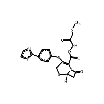 O=C(CSC(F)(F)F)NOC(=O)C1=C(Sc2ccc(-c3ncco3)cc2)CS[C@H]2CC(=O)N12